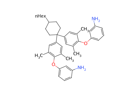 CCCCCCC1CCC(c2cc(C)c(Oc3cccc(N)c3)c(C)c2)(c2cc(C)c(Oc3cccc(N)c3)c(C)c2)CC1